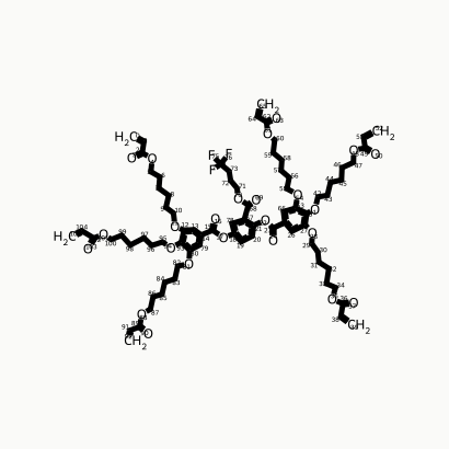 C=CC(=O)OCCCCCCOc1cc(C(=O)Oc2ccc(OC(=O)c3cc(OCCCCCCOC(=O)C=C)c(OCCCCCCOC(=O)C=C)c(OCCCCCCOC(=O)C=C)c3)c(C(=O)OCCCC(F)(F)F)c2)cc(OCCCCCCOC(=O)C=C)c1OCCCCCCOC(=O)C=C